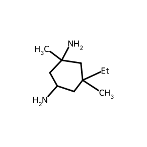 CCC1(C)CC(N)CC(C)(N)C1